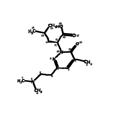 Cc1cc(CCN(C)C)nn([C@@H](CC(C)C)C(=O)O)c1=O